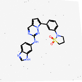 O=S1(=O)CCCN1c1cccc(-c2ccc3cnc(Nc4ccc5nc[nH]c5c4)nn23)c1